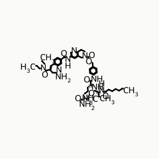 CCCCCCC(=O)N[C@H](C(=O)N[C@@H](CCCNC(N)=O)C(=O)Nc1ccc(COC(=O)N2CCc3ncc(NC(=O)c4ccc5c(c4)N=C(N)CC(C(=O)N(CCC)CCC)=C5)cc3C2)cc1)C(C)C